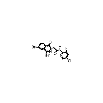 CC(C)c1nn(CC(=O)Nc2ncc(Cl)cc2F)c(=O)c2ccc(Br)cc12